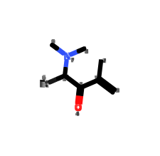 C=C(C)C(=O)[C](CC)N(C)C